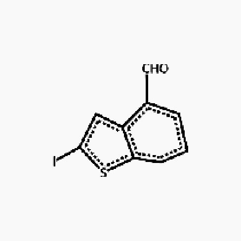 O=Cc1cccc2sc(I)cc12